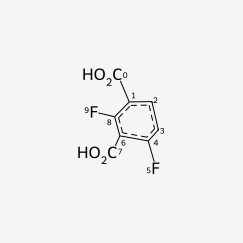 O=C(O)c1ccc(F)c(C(=O)O)c1F